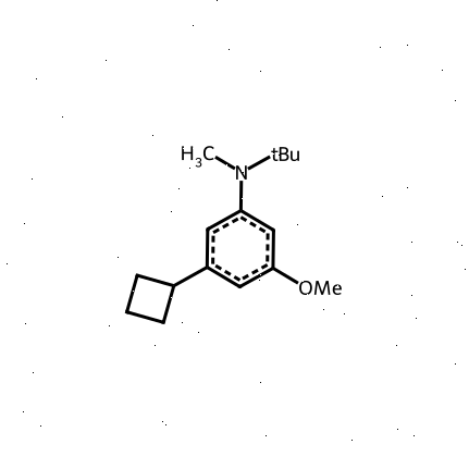 COc1cc(C2CCC2)cc(N(C)C(C)(C)C)c1